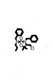 CCCN(Cc1ccccc1)P(=O)(OC(C)(C)C)N(CCCl)Cc1ccccc1